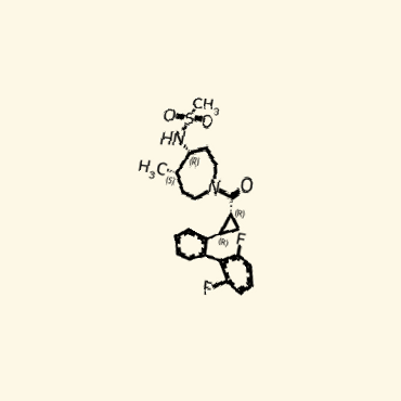 C[C@H]1CCN(C(=O)[C@@H]2C[C@H]2c2ccccc2-c2c(F)cccc2F)CC[C@H]1NS(C)(=O)=O